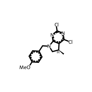 COc1ccc(CN2C[C@H](C)c3c(Cl)nc(Cl)nc32)cc1